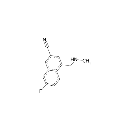 CNCc1cc(C#N)cc2cc(F)ccc12